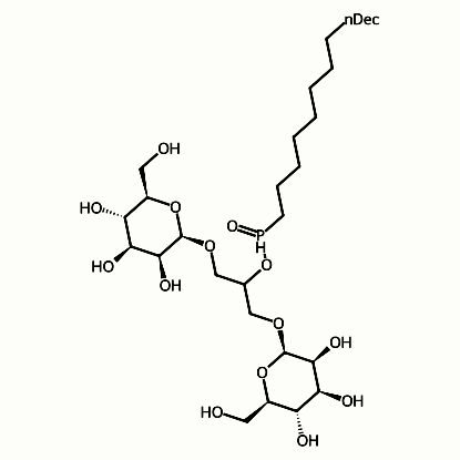 CCCCCCCCCCCCCCCCCC[PH](=O)OC(CO[C@@H]1O[C@H](CO)[C@@H](O)[C@H](O)[C@@H]1O)CO[C@@H]1O[C@H](CO)[C@@H](O)[C@H](O)[C@@H]1O